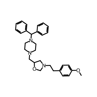 COc1ccc(CCN2COC(CN3CCN(C(c4ccccc4)c4ccccc4)CC3)C2)cc1